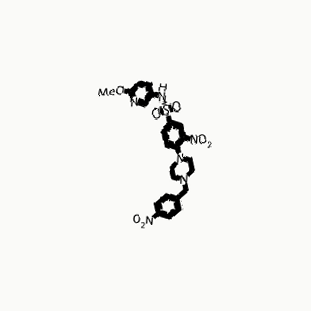 COc1ccc(NS(=O)(=O)c2ccc(N3CCN(Cc4ccc([N+](=O)[O-])cc4)CC3)c([N+](=O)[O-])c2)cn1